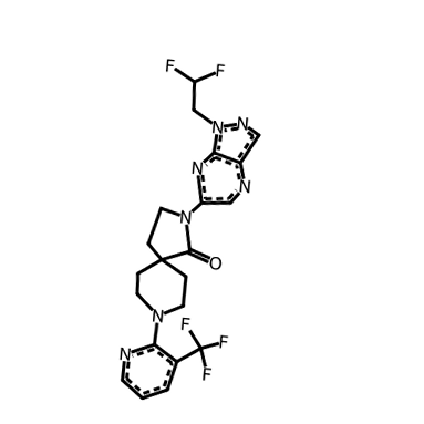 O=C1N(c2cnc3cnn(CC(F)F)c3n2)CCC12CCN(c1ncccc1C(F)(F)F)CC2